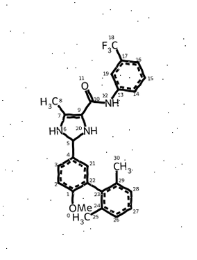 COc1ccc(C2NC(C)=C(C(=O)Nc3cccc(C(F)(F)F)c3)N2)cc1-c1c(C)cccc1C